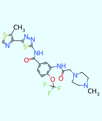 Cc1scnc1-c1nnc(NC(=O)c2ccc(OC(F)(F)F)c(NC(=O)CN3CCN(C)CC3)c2)s1